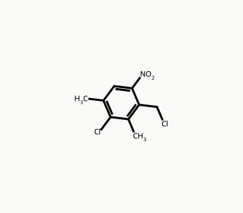 Cc1cc([N+](=O)[O-])c(CCl)c(C)c1Cl